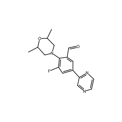 CC1CN(c2c(F)cc(-c3cnccn3)cc2C=O)CC(C)O1